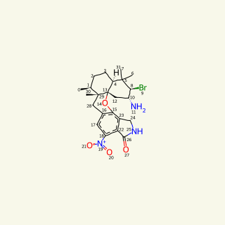 C[C@H]1CC[C@H]2C(C)(C)[C@@H](Br)[C@H](N)C[C@]23Oc2c(cc([N+](=O)[O-])c4c2CNC4=O)C[C@]13C